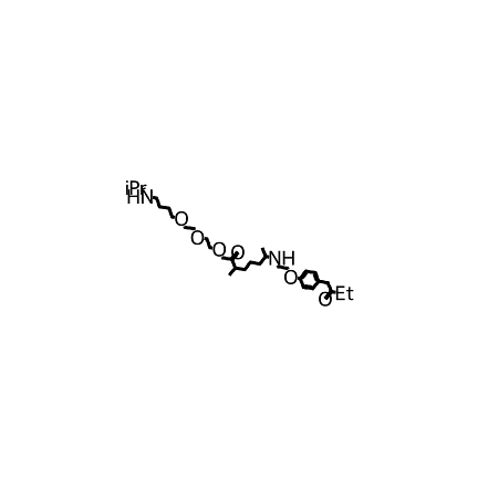 CCC(=O)Cc1ccc(OCCNC(C)CCCC(C)C(=O)COCCOCCOCCCCNC(C)C)cc1